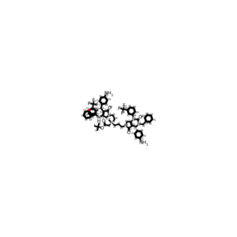 CC(C)(C)OC(=O)C[N+](C)(CCCN1CC2=C(C1=O)[C@@H](c1ccc(N)cc1)N(Cc1ccccc1)C(=O)N2c1cccc(C(F)(F)F)c1)CCN1CC(Nc2cccc(C(F)(F)F)c2)=C([C@H](NCc2ccccc2)c2ccc(N)cc2)C1=O